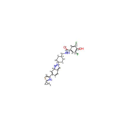 Cc1nc(-c2ccc3cn(C4CCC(CNC(=O)c5cc(F)c(O)c(F)c5)CC4)nc3c2)cs1